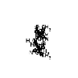 CC1=C(C(=O)N2CCN(C)CC2)[C@@H](c2ccc(C#N)cc2)N(CC(=O)NCCN(C)CCNC(=O)CN2C(=O)N(c3cccc(C(F)(F)F)c3)C(C)=C(C(=O)N3CCN(C)CC3)[C@H]2c2ccc(C#N)cc2)C(=O)N1c1cccc(C(F)(F)F)c1